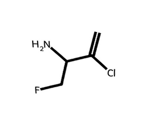 C=C(Cl)C(N)CF